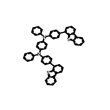 c1ccc(N(c2ccc(-c3cccc4c3sc3ccccc34)cc2)c2ccc(N(c3ccccc3)c3ccc(-c4cccc5c4sc4ccccc45)cc3)cc2)cc1